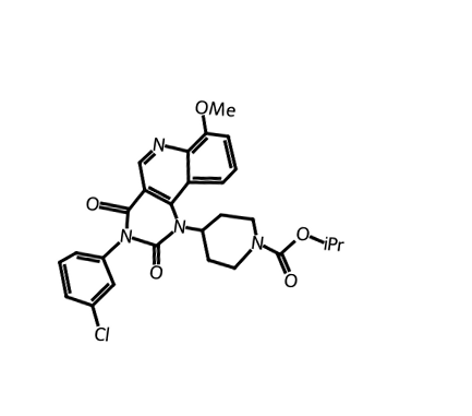 COc1cccc2c1ncc1c(=O)n(-c3cccc(Cl)c3)c(=O)n(C3CCN(C(=O)OC(C)C)CC3)c12